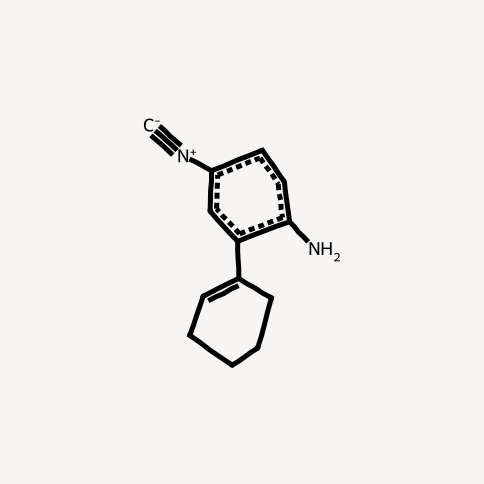 [C-]#[N+]c1ccc(N)c(C2=CCCCC2)c1